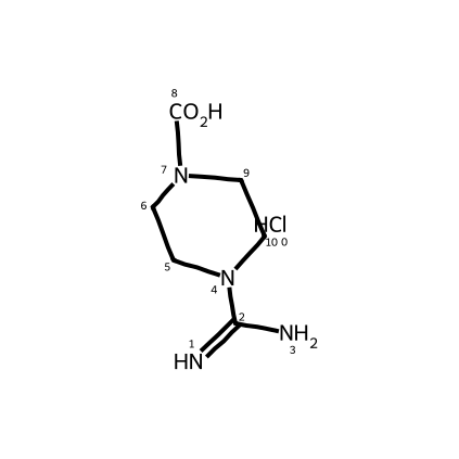 Cl.N=C(N)N1CCN(C(=O)O)CC1